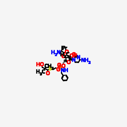 CC(C)C(N)C(=O)OC1[C@@H](COP(=O)(NCc2ccccc2)OCCSC(=O)C(C)(C)CO)O[C@@H](n2ccc(N)nc2=O)[C@@]1(C)O